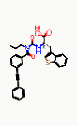 CCCN(C(=O)N[C@@H](Cc1csc2ccccc12)C(=O)O)C(=O)c1cccc(C#Cc2ccccc2)c1